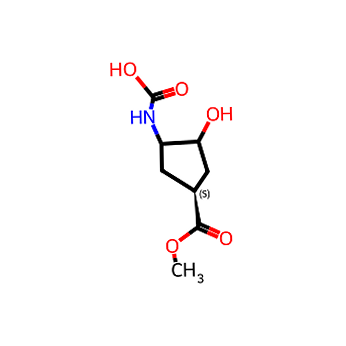 COC(=O)[C@@H]1CC(O)C(NC(=O)O)C1